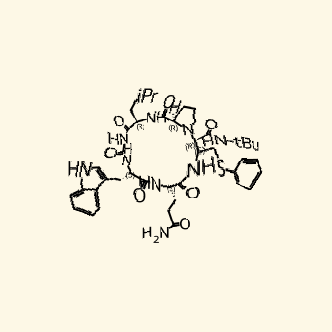 CC(C)C[C@H]1NC(=O)[C@H]2CCCN2[C@@H](C(=O)NC(C)(C)C)[C@@H](CSc2ccccc2)NC(=O)[C@H](CCC(N)=O)NC(=O)[C@H](Cc2c[nH]c3ccccc23)NC(=O)NC1=O